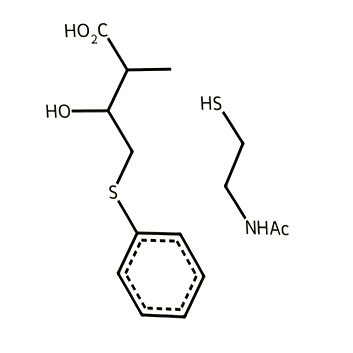 CC(=O)NCCS.CC(C(=O)O)C(O)CSc1ccccc1